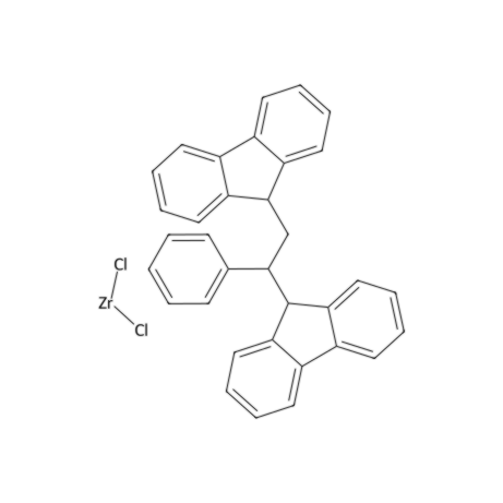 [Cl][Zr][Cl].c1ccc(C(CC2c3ccccc3-c3ccccc32)C2c3ccccc3-c3ccccc32)cc1